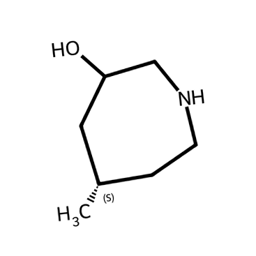 C[C@H]1CCNCC(O)C1